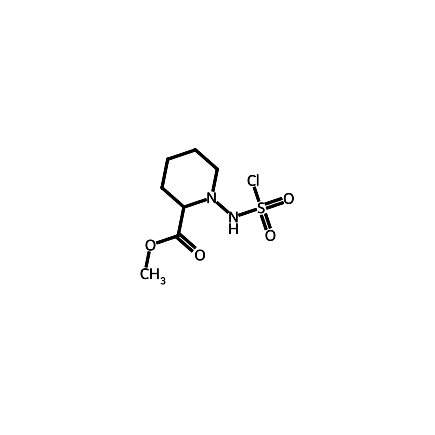 COC(=O)C1CCCCN1NS(=O)(=O)Cl